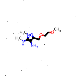 CNc1c(N)c(COCCOC)nn1C